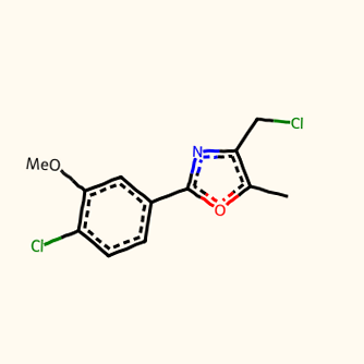 COc1cc(-c2nc(CCl)c(C)o2)ccc1Cl